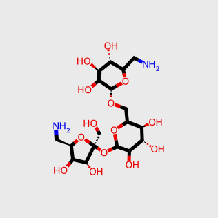 NCC1O[C@H](OCC2OC(O[C@]3(CO)O[C@H](CN)C(O)[C@H]3O)C(O)[C@@H](O)[C@@H]2O)C(O)[C@@H](O)[C@@H]1O